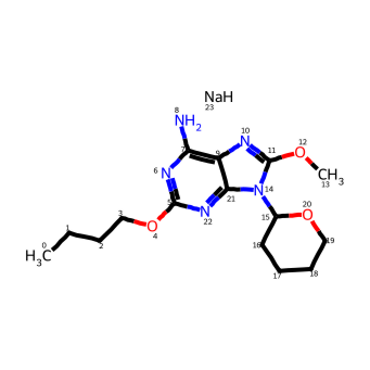 CCCCOc1nc(N)c2nc(OC)n(C3CCCCO3)c2n1.[NaH]